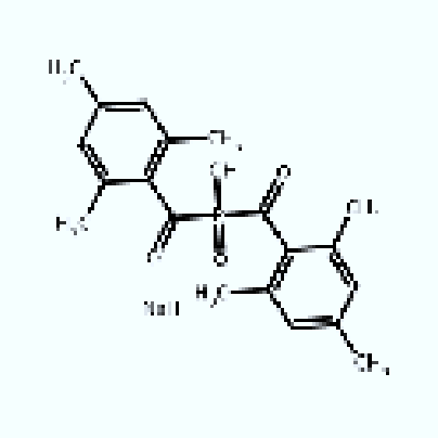 Cc1cc(C)c(C(=O)P(=O)(O)C(=O)c2c(C)cc(C)cc2C)c(C)c1.[NaH]